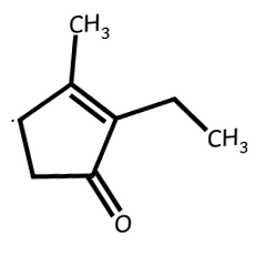 CCC1=C(C)[CH]CC1=O